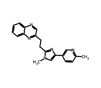 Cc1ccc(-c2cn(C)c(CCc3cnc4ccccc4n3)n2)cn1